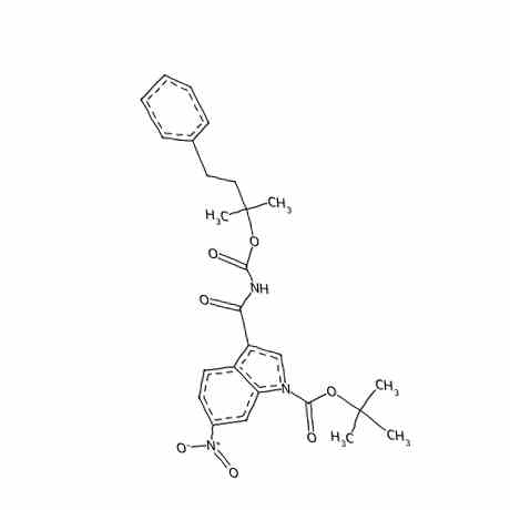 CC(C)(C)OC(=O)n1cc(C(=O)NC(=O)OC(C)(C)CCc2ccccc2)c2ccc([N+](=O)[O-])cc21